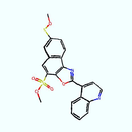 COSc1ccc2c(c1)cc(S(=O)(=O)OC)c1oc(-c3ccnc4ccccc34)nc12